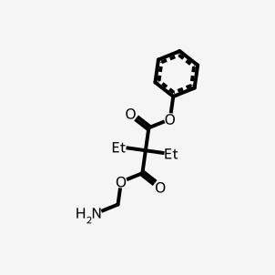 CCC(CC)(C(=O)OCN)C(=O)Oc1ccccc1